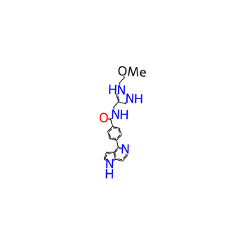 COCCN/C=C(\C=N)CNC(=O)c1ccc(-c2nccc3[nH]ccc23)cc1